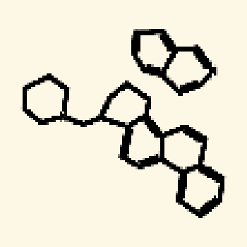 c1ccc2c(c1)ccc1c3c(ccc12)C(CN1CCCCC1)CCC3.c1ccc2cnccc2c1